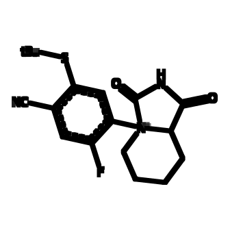 CC(C)(C)Sc1cc([N+]23CCCCC2C(=O)NC3=O)c(F)cc1C#N